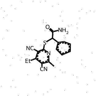 CCc1c(C#N)c(C)nc(SC(C(N)=O)c2ccccc2)c1C#N